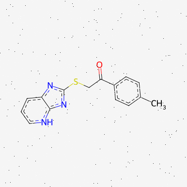 Cc1ccc(C(=O)CSc2nc3ccc[nH]c-3n2)cc1